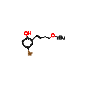 CCCCOCC/C=C/c1cc(Br)ccc1O